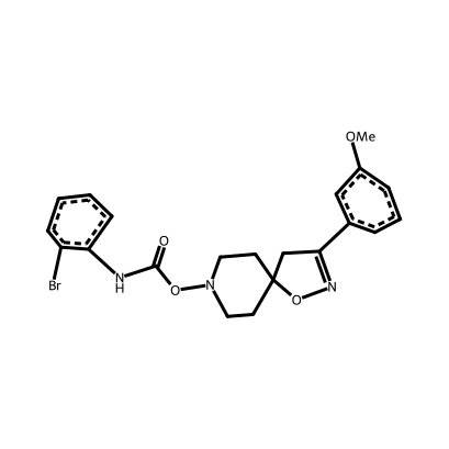 COc1cccc(C2=NOC3(CCN(OC(=O)Nc4ccccc4Br)CC3)C2)c1